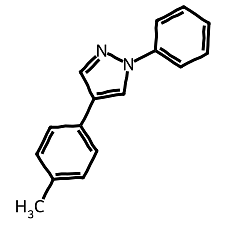 Cc1ccc(-c2cnn(-c3ccccc3)c2)cc1